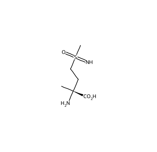 C[C@@](N)(CCS(C)(=N)=O)C(=O)O